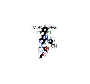 C=CC(=O)N[C@H]1COC[C@H]1N(C)c1cc2c(N3CCC(C#N)C3)nc(-c3c(Cl)c(OC)cc(OC)c3Cl)cc2cn1